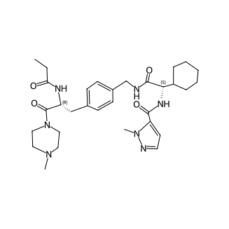 CCC(=O)N[C@H](Cc1ccc(CNC(=O)[C@@H](NC(=O)c2ccnn2C)C2CCCCC2)cc1)C(=O)N1CCN(C)CC1